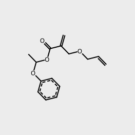 C=CCOCC(=C)C(=O)OC(C)Oc1ccccc1